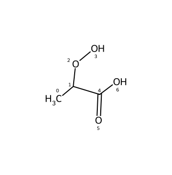 CC(OO)C(=O)O